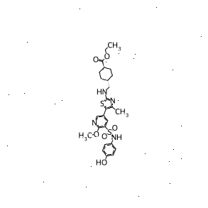 CCOC(=O)[C@H]1CC[C@H](CNc2nc(C)c(-c3cnc(OC)c(S(=O)(=O)Nc4ccc(O)cc4)c3)s2)CC1